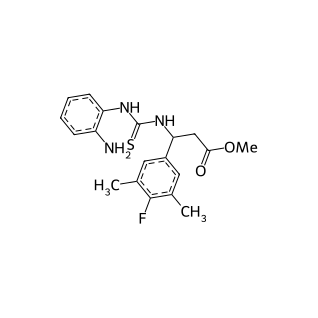 COC(=O)CC(NC(=S)Nc1ccccc1N)c1cc(C)c(F)c(C)c1